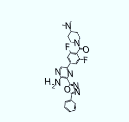 CN(C)C1CCN(C(=O)c2c(F)cc(-c3cnc(N)c(-c4nnc(-c5ccccc5)o4)n3)cc2F)CC1